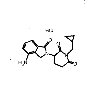 Cl.Nc1cccc2c1CN(C1CCC(=O)N(CC3CC3)C1=O)C2=O